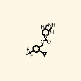 O=C(OCc1ccc(C(F)(F)F)cc1C1CC1)N1CC[C@@H]2CNC[C@H]2C1